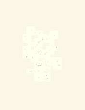 CCc1cccc(CC)c1N(CN1C=NCN1)C(=O)CCl